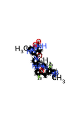 Cc1ccn2c(C3(c4noc(=O)[nH]4)CC3)c(C(=O)N3CCc4nn(-c5ccc(F)c(C6CC6)c5)c(-n5ccn(-c6ccc7c(cnn7C)c6F)c5=O)c4[C@@H]3C)cc2n1